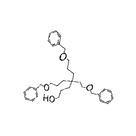 OCCCC(CCCOCc1ccccc1)(CCCOCc1ccccc1)CCOCc1ccccc1